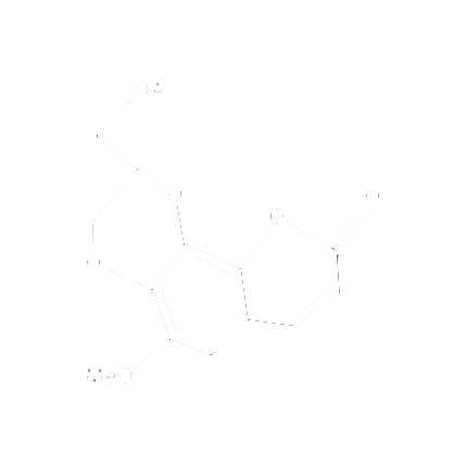 COc1cc2ccc(=O)oc2c2c1O[CH]C(COC(C)=O)O2